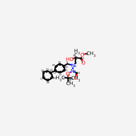 COC(=O)C(C)(O)CN(Cc1ccc(-c2ccccc2)cc1)N(C=O)OC(C)(C)C